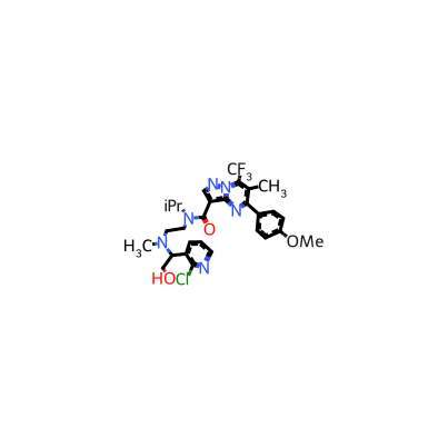 COc1ccc(-c2nc3c(C(=O)N(CCN(C)C(CO)c4cccnc4Cl)C(C)C)cnn3c(C(F)(F)F)c2C)cc1